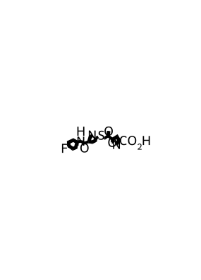 O=C(Nc1ccc(F)cc1)c1ccc(SCC(=O)c2cc(C(=O)O)no2)nc1